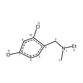 CCN(C)Cc1ccc(Cl)cc1Cl